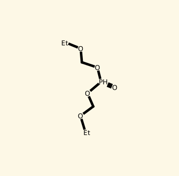 CCOCO[PH](=O)OCOCC